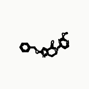 COc1nccc(N2CCn3nc(OCc4ccccc4)cc3C2=O)n1